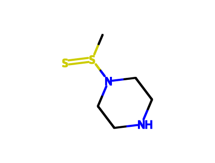 CS(=S)N1CCNCC1